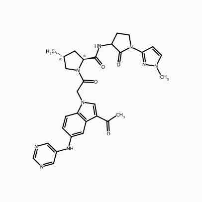 CC(=O)c1cn(CC(=O)N2C[C@H](C)C[C@H]2C(=O)NC2CCN(c3ccn(C)n3)C2=O)c2ccc(Nc3cncnc3)cc12